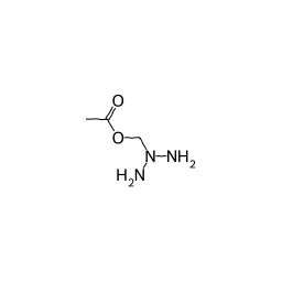 CC(=O)OCN(N)N